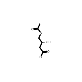 CC(=O)SC[C@H](O)CC(=O)O